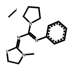 CI.CN1CCS/C1=N/C(=N/c1ccccc1)N1CCCC1